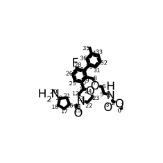 COC(=O)NCCOCc1c(C2CN(C(=O)[C@@H]3CC[C@H](N)C3)CCO2)ccc(F)c1-c1cccc(C)c1